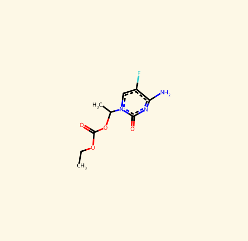 CCOC(=O)OC(C)n1cc(F)c(N)nc1=O